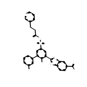 N=C(N)c1ccc2[nH]c(-c3cc(S(=O)(=O)NC(=O)CCc4cccnc4)cc(-c4cccc(N)c4)c3O)nc2c1